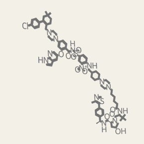 Cc1ncsc1-c1ccc([C@H](C)NC(=O)[C@@H]2C[C@@H](O)CN2C(=O)C(NC(=O)CCCCCN2CCN(C3CCC(CNc4ccc(S(=O)(=O)NC(=O)c5ccc(N6CCN(CC7=C(c8ccc(Cl)cc8)CC(C)(C)CC7)CC6)cc5Oc5cnc6[nH]ccc6c5)cc4[N+](=O)[O-])CC3)CC2)C(C)(C)C)cc1